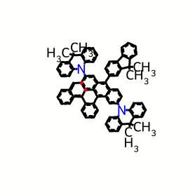 CC1(C)c2ccccc2-c2ccc(-c3c4cc(N5c6ccccc6C(C)(C)c6ccccc65)ccc4c(-c4ccccc4C4=c5ccccc5=CCC4)c4cc(N5c6ccccc6C(C)(C)c6ccccc65)ccc34)cc21